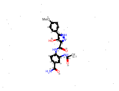 COc1ccc(-c2[nH]nc(C(=O)Nc3ccc(C(N)=O)cc3NC(=O)C(F)(F)F)c2O)cc1